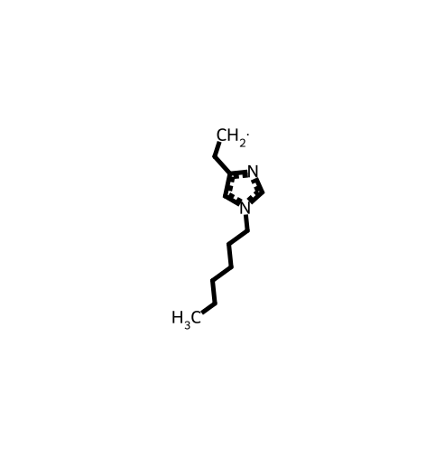 [CH2]Cc1cn(CCCCCC)cn1